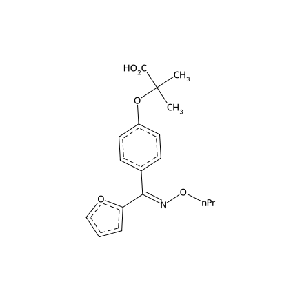 CCCO/N=C(\c1ccc(OC(C)(C)C(=O)O)cc1)c1ccco1